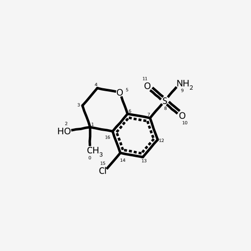 CC1(O)CCOc2c(S(N)(=O)=O)ccc(Cl)c21